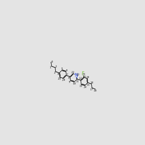 CCCCc1ccc(-c2ccc(-c3ccc(CCC)cc3F)nc2)cc1